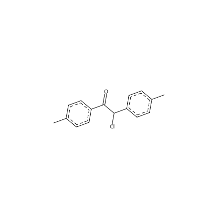 Cc1ccc(C(=O)C(Cl)c2ccc(C)cc2)cc1